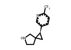 FC(F)(F)c1ccc([C@H]2CC23CCNC3)cn1